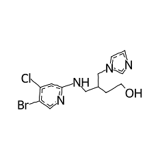 OCCC(CNc1cc(Cl)c(Br)cn1)Cn1ccnc1